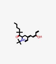 C=C/C(=C\C=C(\O)C=C)CC(NC(C)(C)C)C(=O)C(C)(C)CCCC